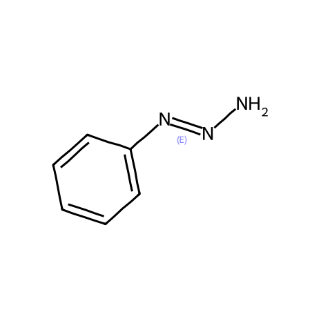 N/N=N/c1ccccc1